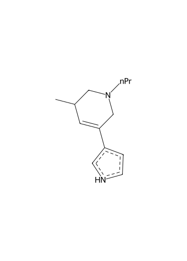 CCCN1CC(c2cc[nH]c2)=CC(C)C1